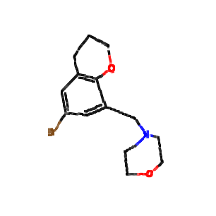 Brc1cc2c(c(CN3CCOCC3)c1)OCCC2